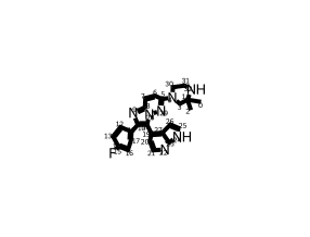 CC1(C)CN(c2ccc3nc(-c4ccc(F)cc4)c(-c4ccnc5[nH]ccc45)n3n2)CCN1